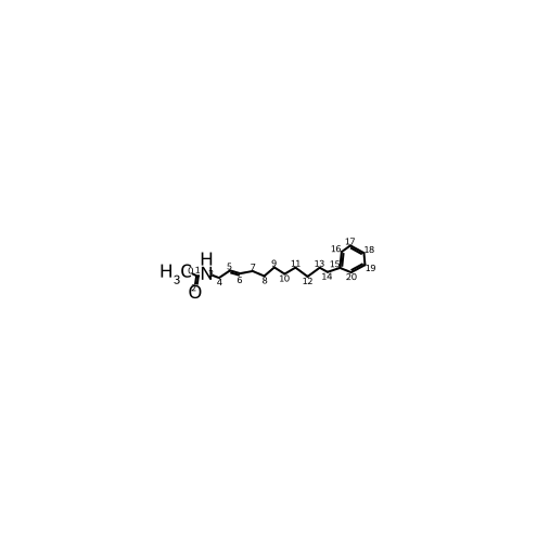 CC(=O)NC/C=C/CCCCCCCCc1ccccc1